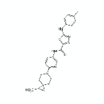 Cc1ccc(Nc2nnc(C(=O)Nc3ccc(N4CCC5(CC4)CC5C(=O)O)nc3)o2)cc1